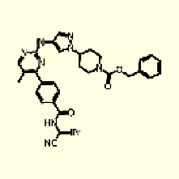 Cc1cnc(Nc2cnn(C3CCN(C(=O)OCc4ccccc4)CC3)c2)nc1-c1ccc(C(=O)NC(C#N)C(C)C)cc1